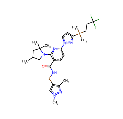 Cc1nn(C)cc1SNC(=O)c1ccc(-n2ccc(S(C)(C)CCC(F)(F)F)n2)nc1N1CC(C)CC1(C)C